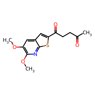 COc1cc2cc(C(=O)CCC(C)=O)sc2nc1OC